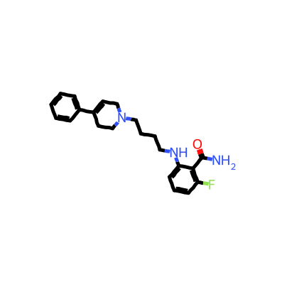 NC(=O)c1c(F)cccc1NCCCCN1CC=C(c2ccccc2)CC1